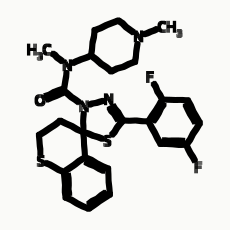 CN1CCC(N(C)C(=O)N2N=C(c3cc(F)ccc3F)SC23CCSc2ccccc23)CC1